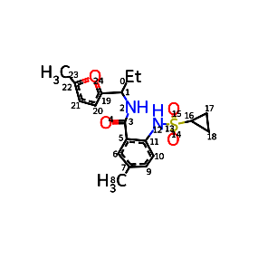 CCC(NC(=O)c1cc(C)ccc1NS(=O)(=O)C1CC1)c1ccc(C)o1